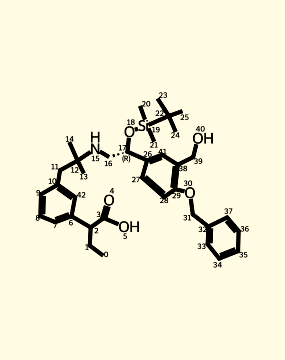 CCC(C(=O)O)c1cccc(CC(C)(C)NC[C@H](O[Si](C)(C)C(C)(C)C)c2ccc(OCc3ccccc3)c(CO)c2)c1